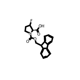 O=C(O)[C@@H]1C(F)CCN1C(=O)OCC1c2ccccc2-c2ccccc21